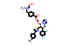 CN(CCO)Cc1ccc(C(=O)OCOC[C@H](c2nc(-c3ccc(C#N)cc3)cs2)[C@@H](Cn2cncn2)c2ccc(F)cc2F)cc1